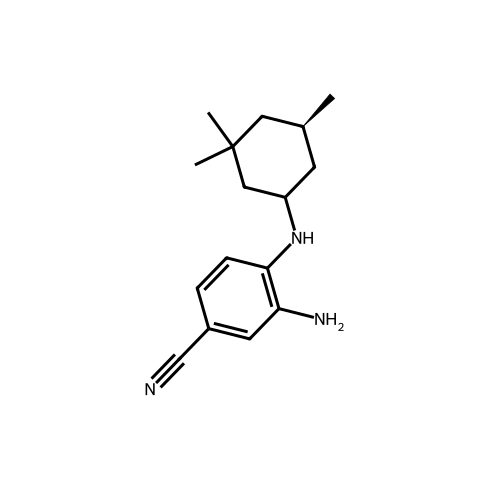 C[C@H]1CC(Nc2ccc(C#N)cc2N)CC(C)(C)C1